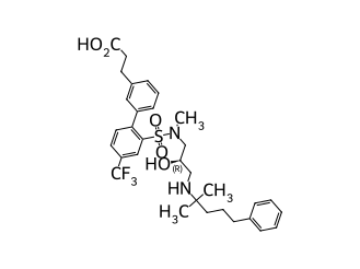 CN(C[C@H](O)CNC(C)(C)CCCc1ccccc1)S(=O)(=O)c1cc(C(F)(F)F)ccc1-c1cccc(CCC(=O)O)c1